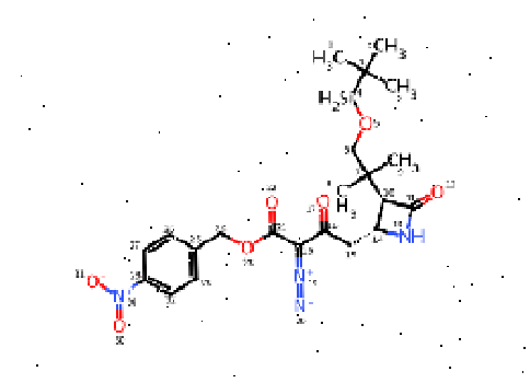 CC(C)(C)[SiH2]OCC(C)(C)[C@H]1C(=O)N[C@@H]1CC(=O)C(=[N+]=[N-])C(=O)OCc1ccc([N+](=O)[O-])cc1